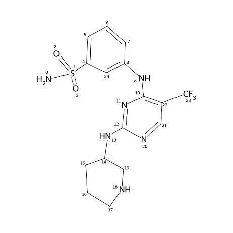 NS(=O)(=O)c1cccc(Nc2nc(NC3CCCNC3)ncc2C(F)(F)F)c1